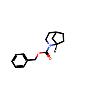 O=C(OCc1ccccc1)N1CCC2CC[C@H]1C2